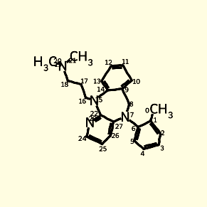 Cc1ccccc1N1Cc2ccccc2N(CCCN(C)C)c2ncccc21